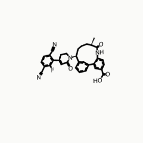 C[C@@H]1CCC[C@H](N2CCC(c3c(C#N)ccc(C#N)c3F)=CC2=O)c2cccc(c2)-c2cc(C(=O)O)ccc2NC1=O